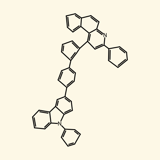 c1ccc(-c2cc(-c3cccc(-c4ccc(-c5ccc6c(c5)c5ccccc5n6-c5ccccc5)cc4)c3)c3c(ccc4ccccc43)n2)cc1